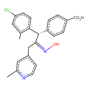 Cc1cc(CC(=NO)[C@@H](c2ccc(C(=O)O)cc2)c2ccc(Cl)cc2C)ccn1